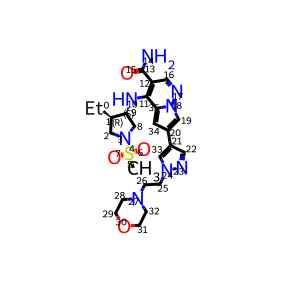 CC[C@@H]1CN(S(C)(=O)=O)C[C@H]1Nc1c(C(N)=O)cnn2cc(-c3cnn(CCN4CCOCC4)c3)cc12